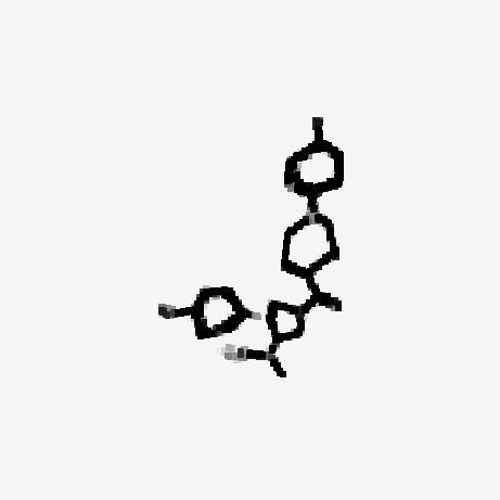 CN(C(=O)O)[C@@H]1CN(C(=O)C2CCN(c3ccc(F)cn3)CC2)C[C@H]1c1ccc(Cl)cc1